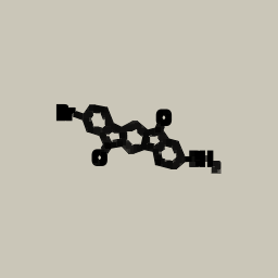 Bc1ccc2c(c1)c(=O)c1cc3c(cc12)c(=O)c1cc(Br)ccc13